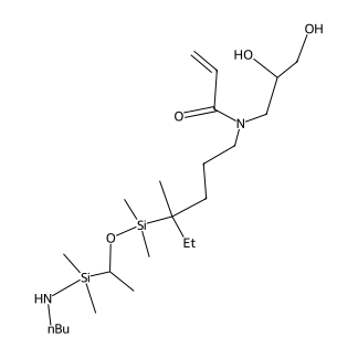 C=CC(=O)N(CCCC(C)(CC)[Si](C)(C)OC(C)[Si](C)(C)NCCCC)CC(O)CO